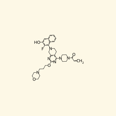 C=CC(=O)N1CCN(c2nc(OCCCN3CCOCC3)nc3c2CCN(c2c(F)c(O)cc4ccccc24)C3)CC1